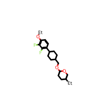 CCOc1ccc(C2CCC(COC3CCC(CC)CO3)CC2)c(F)c1F